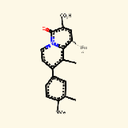 CC[C@@H](C)c1cc(C(=O)O)c(=O)n2ccc(-c3ccc(NC)c(C)c3)c(C)c12